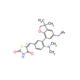 CC(C)Cc1cc(-c2cc(/C=C3/SC(=O)NC3=O)ccc2N(C)C)c2c(c1)C(C)(C)CO2